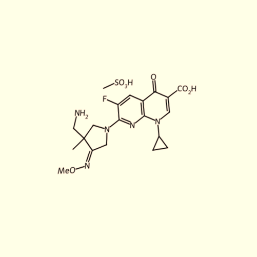 CON=C1CN(c2nc3c(cc2F)c(=O)c(C(=O)O)cn3C2CC2)CC1(C)CN.CS(=O)(=O)O